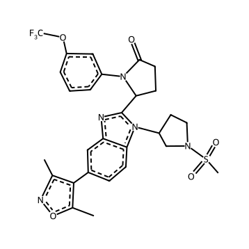 Cc1noc(C)c1-c1ccc2c(c1)nc(C1CCC(=O)N1c1cccc(OC(F)(F)F)c1)n2C1CCN(S(C)(=O)=O)C1